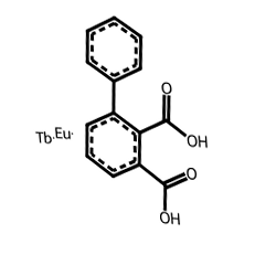 O=C(O)c1cccc(-c2ccccc2)c1C(=O)O.[Eu].[Tb]